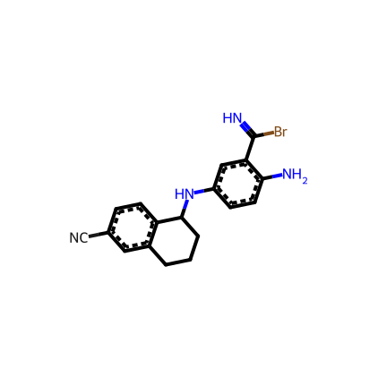 N#Cc1ccc2c(c1)CCCC2Nc1ccc(N)c(C(=N)Br)c1